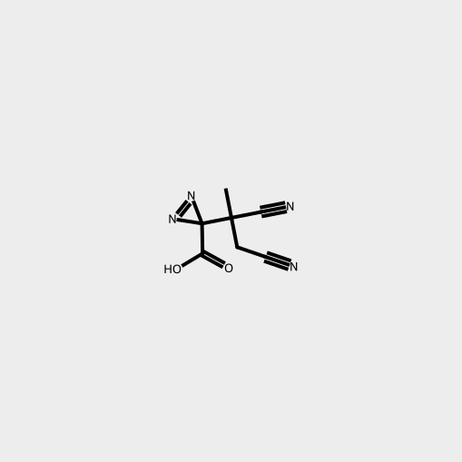 CC(C#N)(CC#N)C1(C(=O)O)N=N1